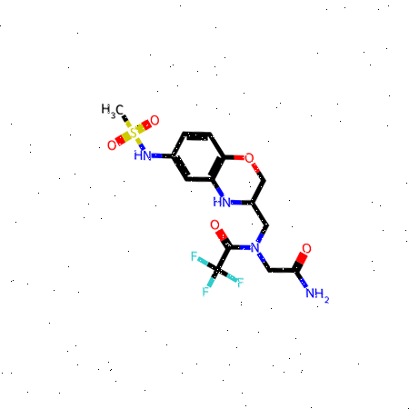 CS(=O)(=O)Nc1ccc2c(c1)NC(CN(CC(N)=O)C(=O)C(F)(F)F)CO2